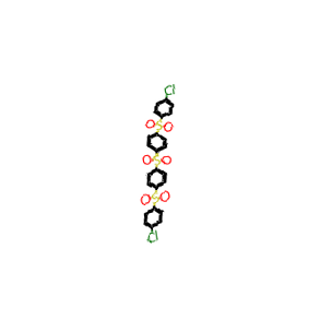 O=S(=O)(c1ccc(Cl)cc1)c1ccc(S(=O)(=O)c2ccc(S(=O)(=O)c3ccc(Cl)cc3)cc2)cc1